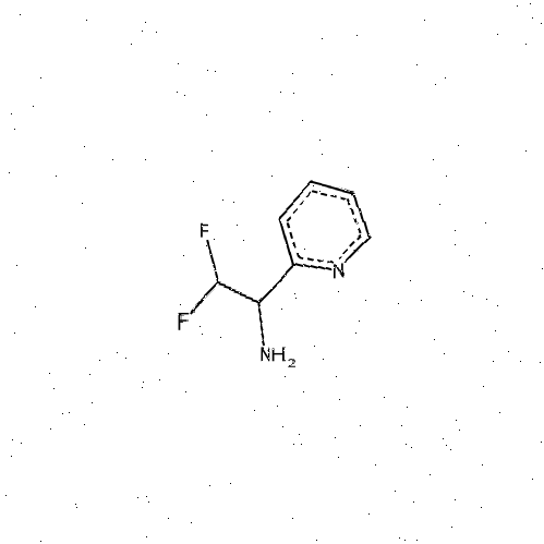 NC(c1ccccn1)C(F)F